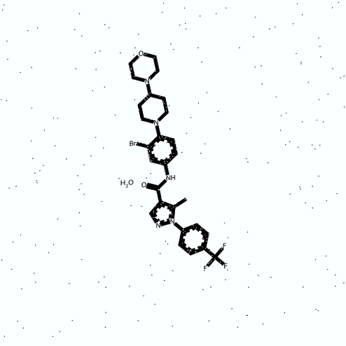 Cc1c(C(=O)Nc2ccc(N3CCC(N4CCOCC4)CC3)c(Br)c2)cnn1-c1ccc(C(F)(F)F)cc1.O